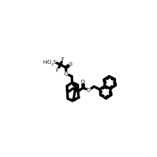 O=C(OCc1cccc2ccccc12)C12CC3CC(CC(COC(=O)C(F)(F)S(=O)(=O)O)(C3)C1)C2